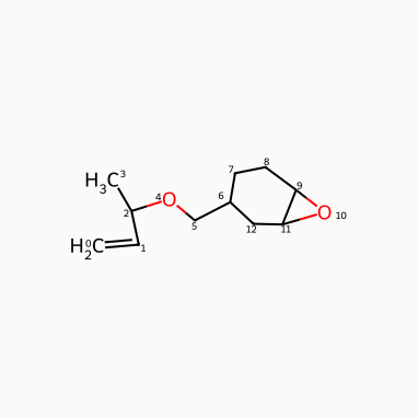 C=CC(C)OCC1CCC2OC2C1